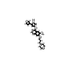 COc1cc2c(Oc3cc(-c4ccoc4)[nH]n3)ncnc2cc1OCCCN1CCOCC1